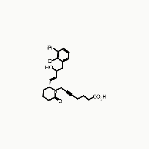 CC(C)c1cccc(CC(O)/C=C/[C@H]2CCCC(=O)N2CC#CCCCC(=O)O)c1Cl